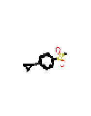 CS(=O)(=O)c1ccc([C]2CC2)cc1